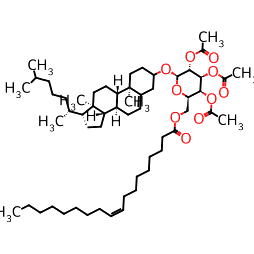 CCCCCCCC/C=C\CCCCCCCC(=O)OC[C@H]1O[C@@H](OC2CC[C@@]3(C)C(=CC[C@H]4[C@@H]5CC[C@H]([C@H](C)CCCC(C)C)[C@@]5(C)CC[C@@H]43)C2)[C@H](OC(C)=O)[C@@H](OC(C)=O)[C@H]1OC(C)=O